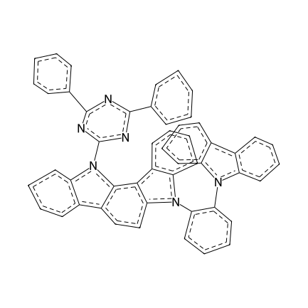 c1ccc(-c2nc(-c3ccccc3)nc(-n3c4ccccc4c4ccc5c(c6ccccc6n5-c5ccccc5-n5c6ccccc6c6ccccc65)c43)n2)cc1